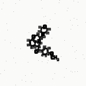 COc1ccc(C(=O)c2cn3c4c(cccc24)OCC3CN2CCOCC2)cc1